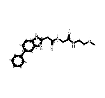 COCCNC(=O)CNC(=O)Cc1nc2ccc(-c3ccccc3)cc2s1